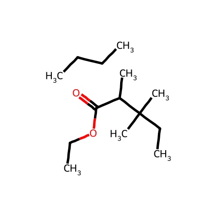 CCCC.CCOC(=O)C(C)C(C)(C)CC